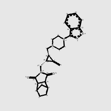 C=C1[C@H](CN2CCN(c3nsc4ccccc34)CC2)[C@H]1CN1C(=O)C2C3CCC(C3)C2C1=O